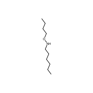 CCCCCCNOCCCC